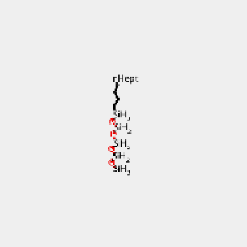 CCCCCCCCCCC[SiH2]O[SiH2]O[SiH2]O[SiH2]O[SiH3]